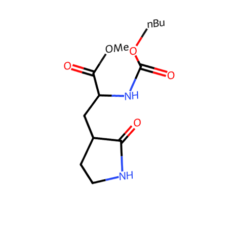 CCCCOC(=O)NC(CC1CCNC1=O)C(=O)OC